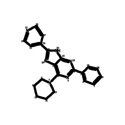 c1ccc(-c2nc(N3CCCCC3)c3nc(-c4ccncc4)[nH]c3n2)cc1